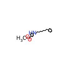 CCOC(=O)c1ccc(NCCCCCCCCc2ccccc2)cc1